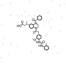 COc1cc(CC(=O)N2CCN(C(=O)c3ccccc3)c3cc(C(C)CC(=O)O)ccc32)ccc1NC(=O)Nc1ccccc1C